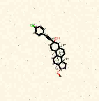 CO[C@H]1CC[C@H]2[C@@H]3CC[C@@H]4C[C@@](O)(C#Cc5ccc(Cl)cc5)CC[C@]4(C)[C@H]3CC[C@]12C